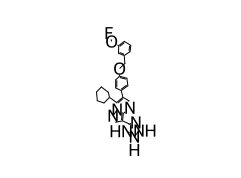 FOc1cccc(COc2ccc(-c3cnc4c(C5=NNNN5)cnn4c3C3CCCCC3)cc2)c1